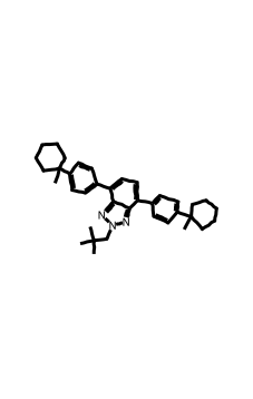 CC(C)(C)Cn1nc2c(-c3ccc(C4(C)CCCCC4)cc3)ccc(-c3ccc(C4(C)CCCCC4)cc3)c2n1